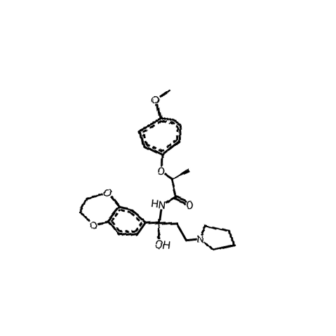 COc1ccc(O[C@@H](C)C(=O)N[C@](O)(CCN2CCCC2)c2ccc3c(c2)OCCO3)cc1